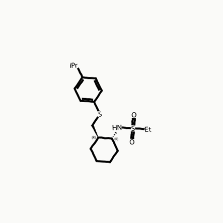 CCS(=O)(=O)N[C@@H]1CCCC[C@H]1CSc1ccc(C(C)C)cc1